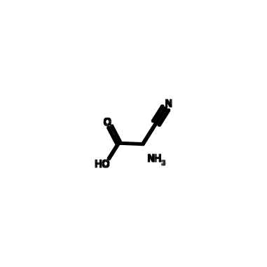 N.N#CCC(=O)O